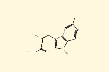 COC(=O)[C@H](Cc1cn(O)c2ccc(OC)cc12)NC(C)=O